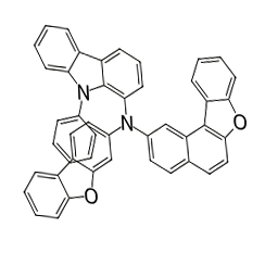 c1ccc(-n2c3ccccc3c3cccc(N(c4ccc5c(c4)oc4ccccc45)c4ccc5ccc6oc7ccccc7c6c5c4)c32)cc1